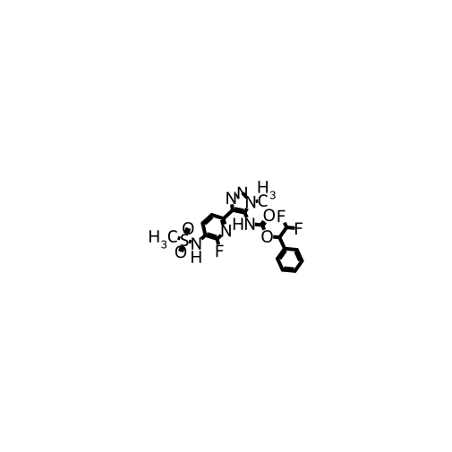 Cn1nnc(-c2ccc(NS(C)(=O)=O)c(F)n2)c1NC(=O)OC(c1ccccc1)C(F)F